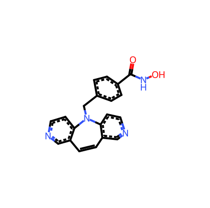 O=C(NO)c1ccc(CN2c3ccncc3C=Cc3cnccc32)cc1